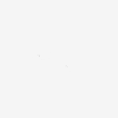 O=C1c2ccccc2C(=O)N1C1CC(SSc2ccccc2[N+](=O)[O-])c2ccccc21